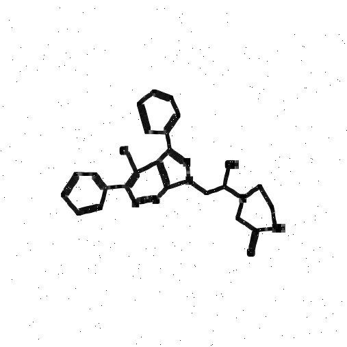 O=C1CN(C(O)Cn2nc(-c3ccccc3)c3c(Cl)c(-c4ccccc4)nnc32)CCN1